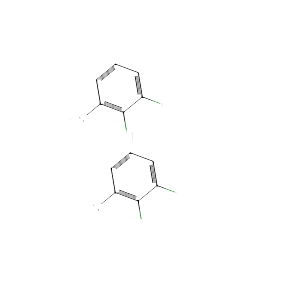 Cl.Cl.[C-]#[N+]c1cccc(Cl)c1Cl.[C-]#[N+]c1cccc(Cl)c1Cl